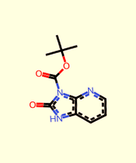 CC(C)(C)OC(=O)n1c(=O)[nH]c2cccnc21